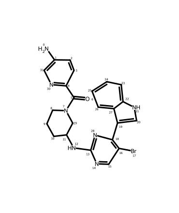 Nc1ccc(C(=O)N2CCCC(Nc3ncc(Br)c(-c4c[nH]c5ccccc45)n3)C2)nc1